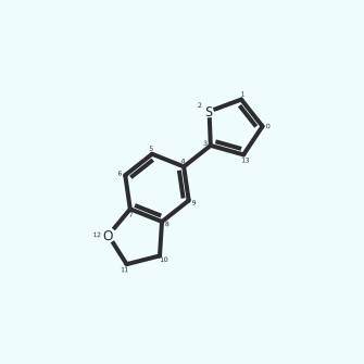 c1csc(-c2ccc3c(c2)CCO3)c1